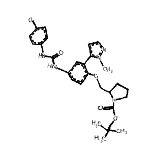 Cn1nccc1-c1cc(NC(=O)Nc2ccc(Cl)cc2)ccc1OCC1CCCN1C(=O)OC(C)(C)C